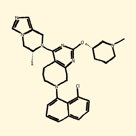 C[C@@H]1Cn2cncc2CN1c1nc(O[C@H]2CCCN(C)C2)nc2c1CCN(c1cccc3cccc(Cl)c13)C2